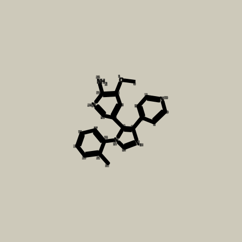 COc1cc(-c2c(-c3ccncc3)ncn2-c2ccccc2C)cnc1N